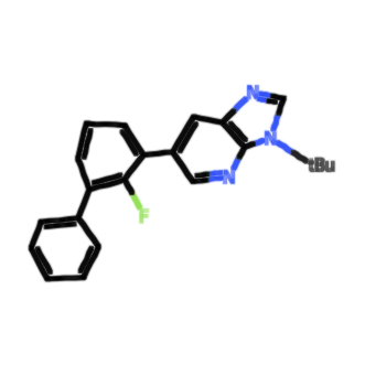 CC(C)(C)n1cnc2cc(-c3cccc(-c4ccccc4)c3F)cnc21